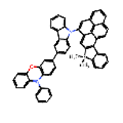 C[Si]1(C)c2ccccc2-c2c1cc1c(-n3c4ccccc4c4cc(-c5ccc6c(c5)Oc5ccccc5N6c5ccccc5)ccc43)cc3cccc4ccc2c1c43